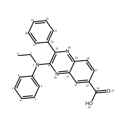 CCN(c1ccccc1)c1nc2cc(C(=O)O)ccc2nc1-c1ccccc1